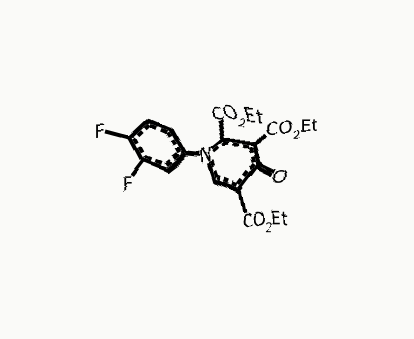 CCOC(=O)c1cn(-c2ccc(F)c(F)c2)c(C(=O)OCC)c(C(=O)OCC)c1=O